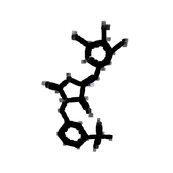 CS(=O)(=O)c1cccc(CN2C(=O)O/C(=C\c3cc(Cl)c(O)c(Cl)n3)C2=O)c1